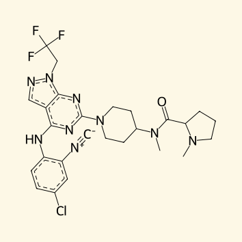 [C-]#[N+]c1cc(Cl)ccc1Nc1nc(N2CCC(N(C)C(=O)C3CCCN3C)CC2)nc2c1cnn2CC(F)(F)F